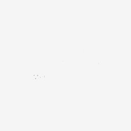 COC1=C(I)C[CH]C=C1